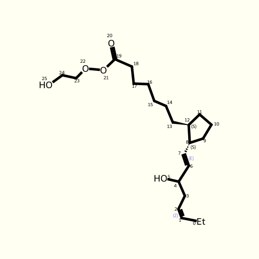 CC/C=C\CC(O)/C=C/[C@H]1CCC[C@@H]1CCCCCCC(=O)OOCCO